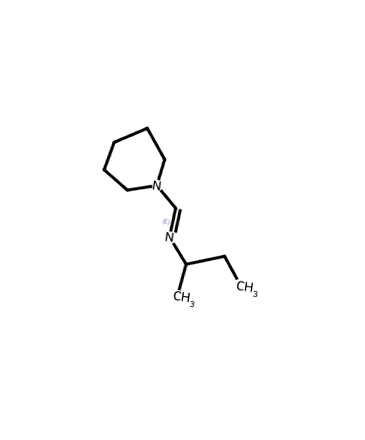 CCC(C)/N=C/N1CCCCC1